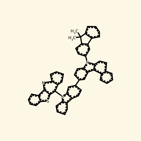 CC1(C)c2ccccc2-c2cc(-n3c4ccc(-c5ccc6c7ccccc7n(-c7c8ccccc8nc8c7sc7ccccc78)c6c5)cc4c4c5ccccc5ccc43)ccc21